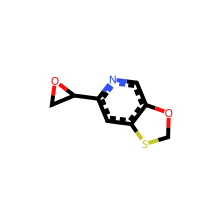 c1nc(C2CO2)cc2c1OCS2